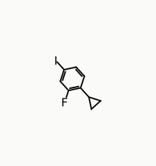 Fc1cc(I)ccc1C1CC1